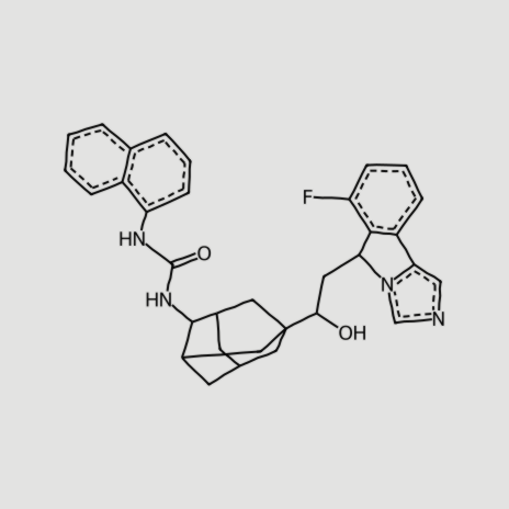 O=C(Nc1cccc2ccccc12)NC1C2CC3CC1CC(C(O)CC1c4c(F)cccc4-c4cncn41)(C3)C2